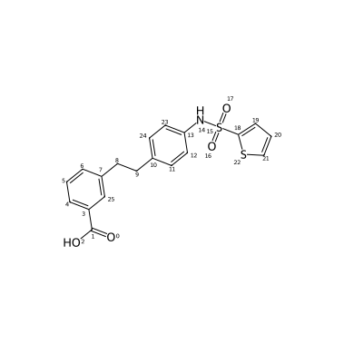 O=C(O)c1cccc(CCc2ccc(NS(=O)(=O)c3cccs3)cc2)c1